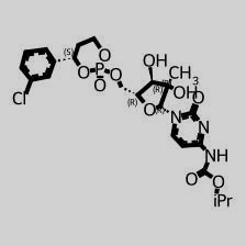 CC(C)OC(=O)Nc1ccn([C@@H]2O[C@H](COP3(=O)OCC[C@@H](c4cccc(Cl)c4)O3)[C@@H](O)[C@@]2(C)O)c(=O)n1